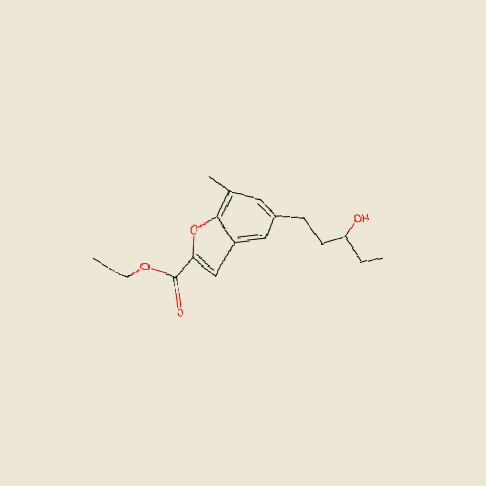 CCOC(=O)c1cc2cc(CCC(O)CC)cc(C)c2o1